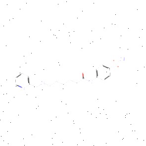 NS(=O)(=O)c1ccc(NC(=O)CCCCCNCc2ccccn2)cc1